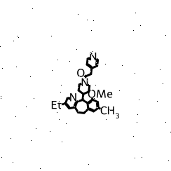 CCc1cnc2c(c1)CCc1cc(C)cc(OC)c1C2C1CCN(C(=O)Cc2ccncc2)CC1